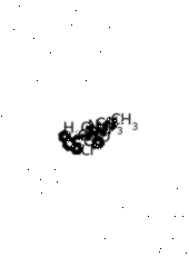 Cc1nc(C)c(C(=O)N2CCN(C)CC2)c(-c2cccc(Cl)c2)c1C(=O)OCCC1c2ccccc2C=Cc2ccccc21